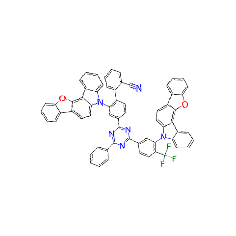 N#Cc1ccccc1-c1ccc(-c2nc(-c3ccccc3)nc(-c3ccc(C(F)(F)F)c(-n4c5ccccc5c5c6oc7ccccc7c6ccc54)c3)n2)cc1-n1c2ccccc2c2c3oc4ccccc4c3ccc21